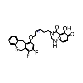 O=C1c2c(O)c(=O)ccn2NCN1CC/C=C\COc1cc(F)c(F)c2c1Cc1ccccc1SC2